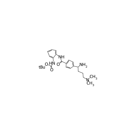 CN(C)CCCC(N)c1ccc(C(=O)Nc2ccccc2NC(=O)OC(C)(C)C)cc1